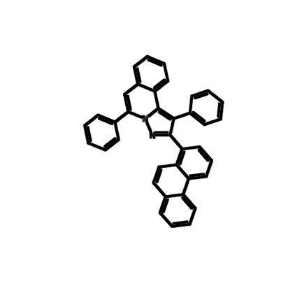 c1ccc(-c2c(-c3cccc4c3ccc3ccccc34)nn3c(-c4ccccc4)cc4ccccc4c23)cc1